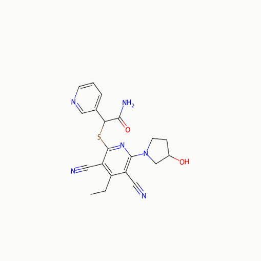 CCc1c(C#N)c(SC(C(N)=O)c2cccnc2)nc(N2CCC(O)C2)c1C#N